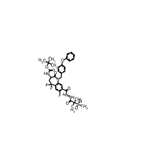 CC(C)(C)OC(=O)NC1CC(F)(F)c2cc(F)c(C(=O)NNC(=O)C(C)(C)S(C)(=O)=O)cc2N(Cc2ccc(Oc3ccccc3)cc2)C1=O